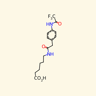 O=C(O)CCCCCNC(=O)Cc1ccc(NC(=O)C(F)(F)F)cc1